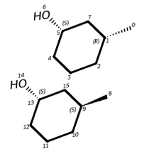 C[C@@H]1CCC[C@H](O)C1.C[C@H]1CCC[C@H](O)C1